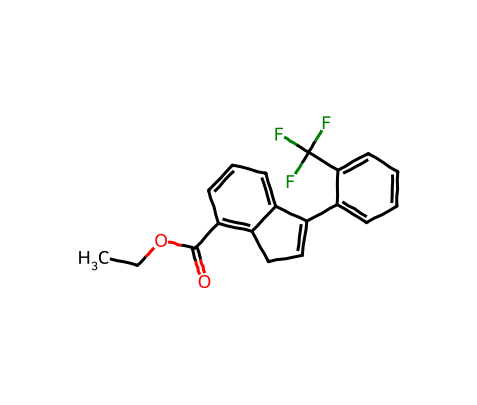 CCOC(=O)c1cccc2c1CC=C2c1ccccc1C(F)(F)F